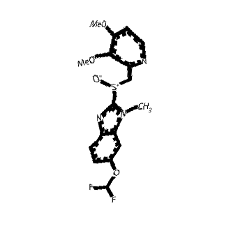 COc1ccnc(C[S+]([O-])c2nc3ccc(OC(F)F)cc3n2C)c1OC